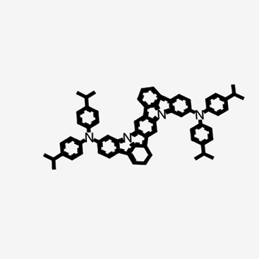 CC(C)c1ccc(N(c2ccc(C(C)C)cc2)c2ccc3c4c5c(c6cc7c(cc6n5c3c2)c2cccc3c5ccc(N(c6ccc(C(C)C)cc6)c6ccc(C(C)C)cc6)cc5n7c32)CCC=4)cc1